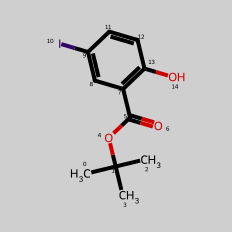 CC(C)(C)OC(=O)c1cc(I)ccc1O